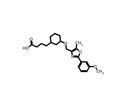 COc1cccc(-c2nc(COC3CCCC(CCCC(=O)O)C3)c(C)o2)c1